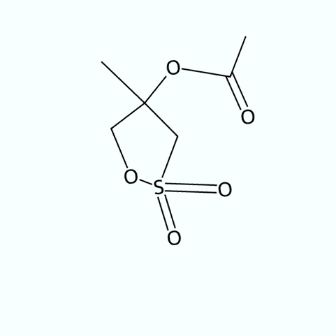 CC(=O)OC1(C)COS(=O)(=O)C1